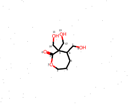 O=C1OCCCC(CO)C1(CO)CO